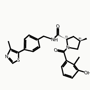 Cc1ncsc1-c1ccc(CNC(=O)[C@@H]2C[C@@H](C)CN2C(=O)c2cccc(O)c2C)cc1